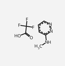 CNc1cccnn1.O=C(O)C(F)(F)F